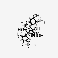 Cc1cc(C)c(C2C(O)[C@@]3(O)C(c4cc(C)c(C)cc4C)[C@@](O)([C@H](O)CO)[C@@]23O)cc1C